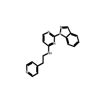 c1ccc2c(c1)cnn2-c1nccc(NCCc2ccncc2)n1